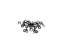 Cc1cc2c3c(c1)N(c1cc(-c4csc5ccccc45)cc(-c4csc5ccccc45)c1)c1c(sc4ccc(C(C)(C)C)cc14)B3c1sc3ccc(C(C)(C)C)cc3c1N2c1cc(-c2csc3ccccc23)cc(-c2csc3ccccc23)c1